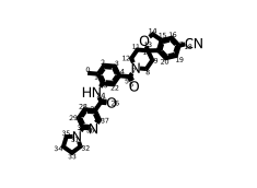 Cc1ccc(C(=O)N2CCC3(CC2)OCc2cc(C#N)ccc23)cc1NC(=O)c1ccc(N2CCCC2)nc1